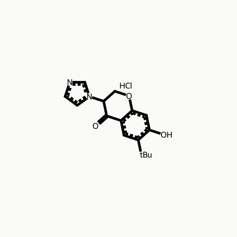 CC(C)(C)c1cc2c(cc1O)OCC(n1ccnc1)C2=O.Cl